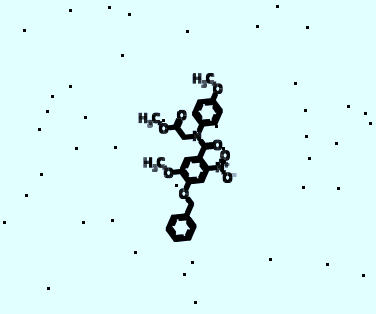 COC(=O)CN(C(=O)c1cc(OC)c(OCc2ccccc2)cc1[N+](=O)[O-])c1ccc(OC)cc1